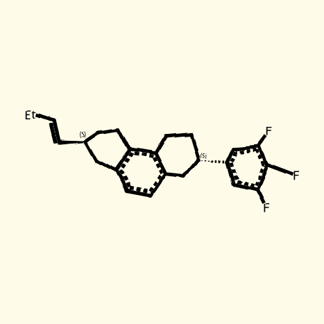 CCC=C[C@H]1CCc2c(ccc3c2CC[C@H](c2cc(F)c(F)c(F)c2)C3)C1